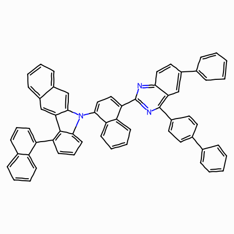 c1ccc(-c2ccc(-c3nc(-c4ccc(-n5c6cc7ccccc7cc6c6c(-c7cccc8ccccc78)cccc65)c5ccccc45)nc4ccc(-c5ccccc5)cc34)cc2)cc1